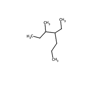 CCCC(CC)[C](C)CC